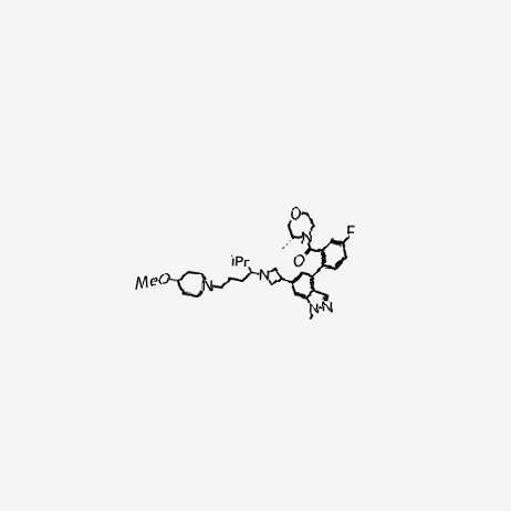 COC1CCN(CCC[C@@H](C(C)C)N2CC(c3cc(-c4ccc(F)cc4C(=O)N4CCOC[C@H]4C)c4cnn(C)c4c3)C2)CC1